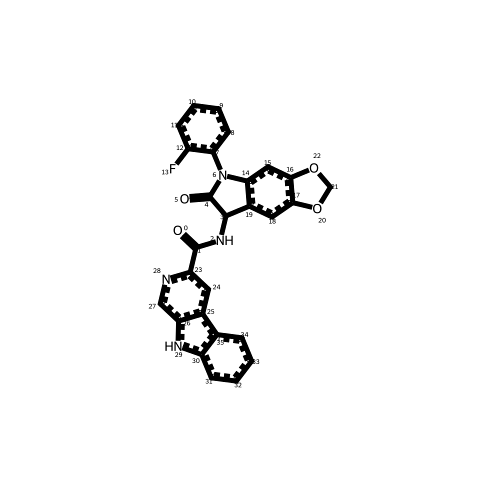 O=C(NC1C(=O)N(c2ccccc2F)c2cc3c(cc21)OCO3)c1cc2c(cn1)[nH]c1ccccc12